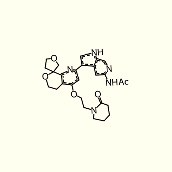 CC(=O)Nc1cc2c(-c3cc(OCCN4CCCCC4=O)c4c(n3)C3(CCOC3)OCC4)c[nH]c2cn1